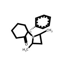 CC1CC(C)N1[C@]1(c2ccccc2)CCCCC1=O